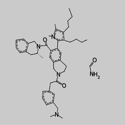 CCCCc1c(CCCC)c(-c2cc3c(cc2C(=O)N2Cc4ccccc4C[C@H]2C)CN(C(=O)Cc2cccc(CN(C)C)c2)CC3)n(C)c1C.NC=O